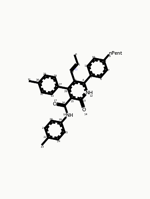 C/C=C/c1c(-c2ccc(CCCCC)cc2)[nH]c(=O)c(C(=O)Nc2ccc(C)cc2)c1-c1ccc(C)cc1